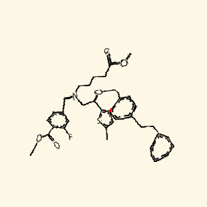 COC(=O)CCCCN(Cc1ccc(C(=O)OC)c(F)c1)CC(OCc1ccc(CCc2ccccc2)cc1)c1ccc(C)s1